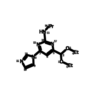 CCOC(OCC)c1cc(-n2ccnc2)nc(NC(C)C)n1